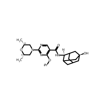 CC(C)Oc1nc(N2C[C@@H](C)O[C@@H](C)C2)ncc1C(=O)N[C@H]1C2CC3CC1C[C@@](O)(C3)C2